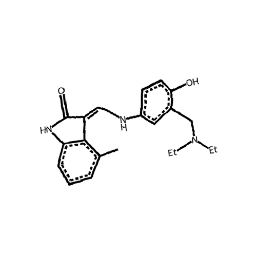 CCN(CC)Cc1cc(N/C=C2/C(=O)Nc3cccc(C)c32)ccc1O